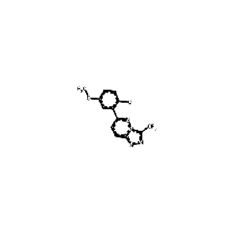 FC(F)(F)Oc1ccc(Cl)c(-c2ccc3nnc(C(F)(F)F)n3n2)c1